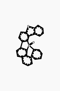 O=P1(c2ccccc2)c2c(ccc3ccccc23)-c2ccc3oc4ccccc4c3c21